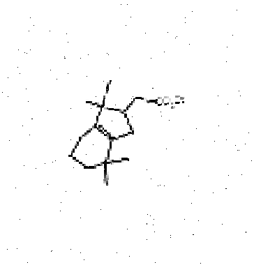 CCOC(=O)CC1CC2=C(CCCC2(C)C)C1(C)C